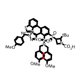 COc1ccc(CN(Cc2ccc(OC)cc2)S(=O)(=O)c2c(S(=O)(=O)C3CN(C(=O)O)C3C(C)(C)C)ccc(-c3cccc4sc(C#N)nc34)c2-c2nnn(Cc3ccc(OC)cc3)n2)cc1